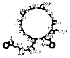 CCCCC1NC(=O)CNC(=O)C(NC(=O)C(CC(=O)O)NC(=O)[C@H](CC(C)=O)NC(=O)[C@@H](N)Cc2c[nH]c3ccccc23)C(C)OC(=O)C(CC(=O)c2ccccc2N)NC(=O)C(C(C)CC(=O)O)NC(=O)C(CO)NC(=O)CNC(=O)C(CC(=O)O)NC(=O)C(C)NC(=O)C(CC(=O)O)NC1=O